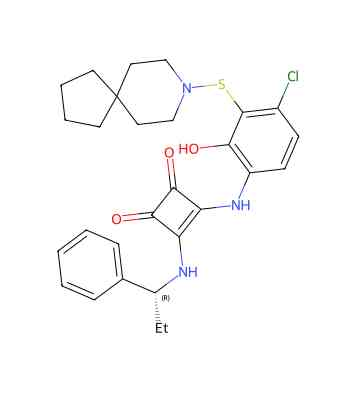 CC[C@@H](Nc1c(Nc2ccc(Cl)c(SN3CCC4(CCCC4)CC3)c2O)c(=O)c1=O)c1ccccc1